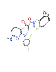 CN(C)c1ccc2c(=O)c(C(=O)NCc3c(F)cccc3C(F)(F)F)cn(-c3ccc(F)cc3F)c2n1